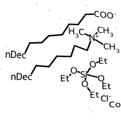 CCCCCCCCCCCCCCCCCC(=O)[O-].CCCCCCCCCCCCCCCC[N+](C)(C)C.CCO[Si](OCC)(OCC)OCC.[Cl-].[Co+]